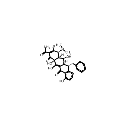 CN(C)[C@@H]1C(O)=C(C(N)=O)C(=O)[C@@]2(O)C(O)=C3C(=O)c4c(O)cccc4[C@@H](Cc4ccccc4)[C@@H]3[C@H](O)[C@@H]12